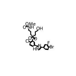 COC(=O)NCCCN(CCCO)S(=O)(=O)c1cc(-c2nc(-c3ccc(Br)c(F)c3)c[nH]2)ccc1Cl